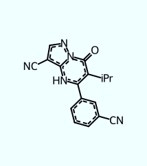 CC(C)c1c(-c2cccc(C#N)c2)[nH]c2c(C#N)cnn2c1=O